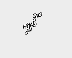 O=C(NCC(O)c1cc2ccccc2cn1)c1ccc(C(=O)N2CCOCC2)cc1